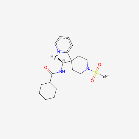 CCCS(=O)(=O)N1CCC(c2ccccn2)([C@H](C)NC(=O)C2CCCCC2)CC1